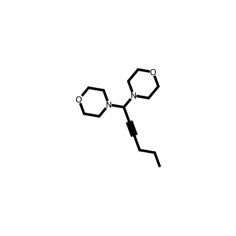 CCCC#CC(N1CCOCC1)N1CCOCC1